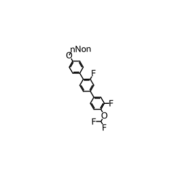 CCCCCCCCCOc1ccc(-c2ccc(-c3ccc(OC(F)F)c(F)c3)cc2F)cc1